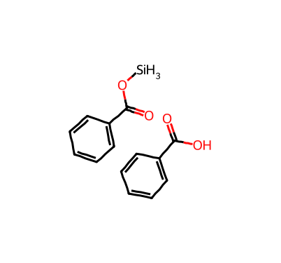 O=C(O)c1ccccc1.O=C(O[SiH3])c1ccccc1